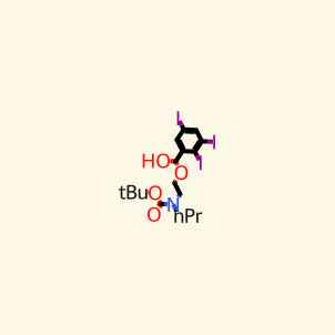 CCCN(CCOC(O)c1cc(I)cc(I)c1I)C(=O)OC(C)(C)C